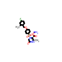 Cc1cc(F)ccc1COc1ccc(S(=O)(=O)N2CC(=O)N[C@@H](C)[C@@H]2C(=O)ON)cc1